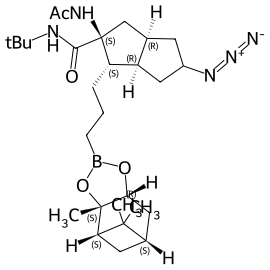 CC(=O)N[C@@]1(C(=O)NC(C)(C)C)C[C@H]2CC(N=[N+]=[N-])C[C@H]2[C@@H]1CCCB1O[C@@H]2C[C@@H]3C[C@@H](C3(C)C)[C@]2(C)O1